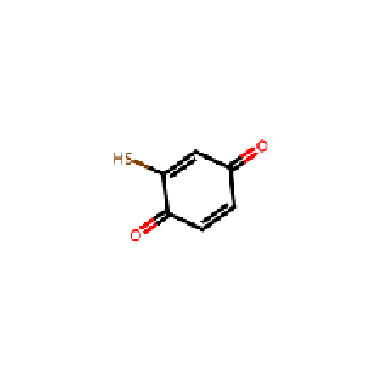 O=C1C=CC(=O)C(S)=C1